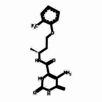 C=C1NC(=O)NC(C(=O)N[C@H](C)CCOc2ccccc2C(F)(F)F)=C1N